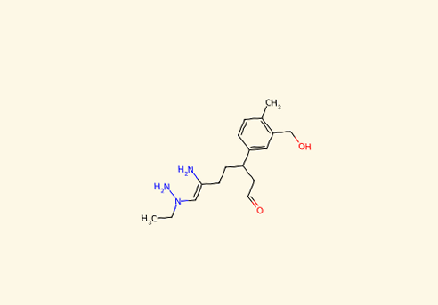 CCN(N)/C=C(\N)CCC(CC=O)c1ccc(C)c(CO)c1